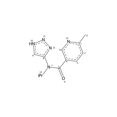 Cc1ccc(C(=O)N(c2c[nH]nn2)C(C)C)cn1